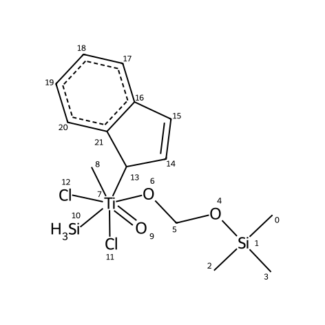 C[Si](C)(C)OC[O][Ti]([CH3])(=[O])([SiH3])([Cl])([Cl])[CH]1C=Cc2ccccc21